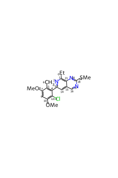 CCc1nc(-c2c(C)c(OC)cc(OC)c2Cl)cc2cnc(SC)nc12